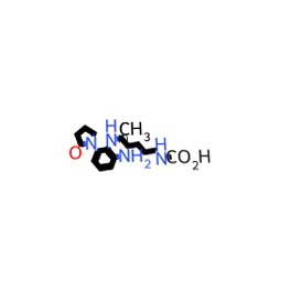 C[C@@H](CCCCNC(=O)O)Nc1c(N)cccc1N1CCCC1=O